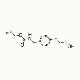 C=CCOC(=O)NCc1ccc(CCCO)cc1